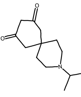 CC(C)N1CCC2(CC1)CC(=O)CC(=O)C2